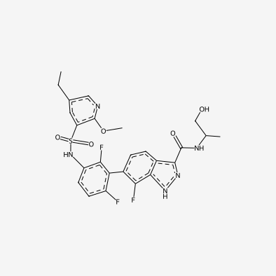 CCc1cnc(OC)c(S(=O)(=O)Nc2ccc(F)c(-c3ccc4c(C(=O)NC(C)CO)n[nH]c4c3F)c2F)c1